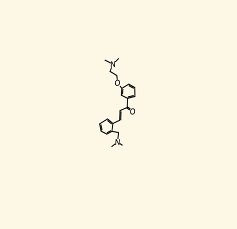 CN(C)CCOc1cccc(C(=O)C=Cc2ccccc2CN(C)C)c1